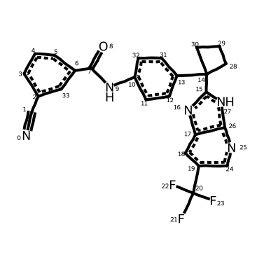 N#Cc1cccc(C(=O)Nc2ccc(C3(c4nc5cc(C(F)(F)F)cnc5[nH]4)CCC3)cc2)c1